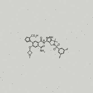 CN1CC(Oc2cc(C(N)=O)c(C(=O)Nc3n[nH]c4c3CN(S(=O)(=O)c3cc(F)cc(F)c3)C4(C)C)cc2-n2cccc2C(=O)O)C1